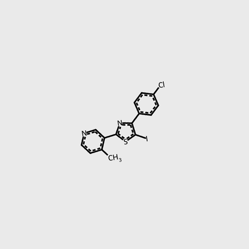 Cc1ccncc1-c1nc(-c2ccc(Cl)cc2)c(I)s1